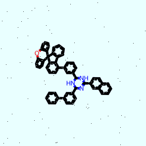 c1ccc(-c2cccc(C3N=C(c4ccc5ccccc5c4)NC(c4cccc(-c5cccc6c5-c5ccccc5C65c6ccccc6Oc6ccccc65)c4)N3)c2)cc1